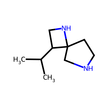 CC(C)C1CNC12CCNC2